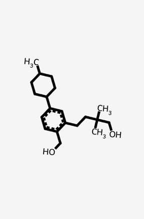 CC1CCC(c2ccc(CO)c(CCC(C)(C)CO)c2)CC1